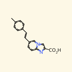 Cc1ccc(C=Cc2ccc3nc(C(=O)O)cn3c2)cc1